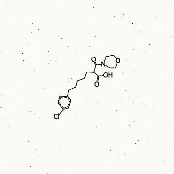 O=C(O)C(CCCCCc1ccc(Cl)cc1)C(=O)N1CCOCC1